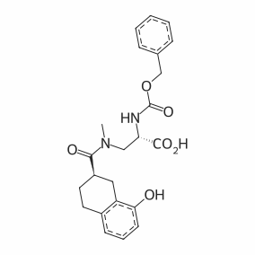 CN(C[C@H](NC(=O)OCc1ccccc1)C(=O)O)C(=O)[C@@H]1CCc2cccc(O)c2C1